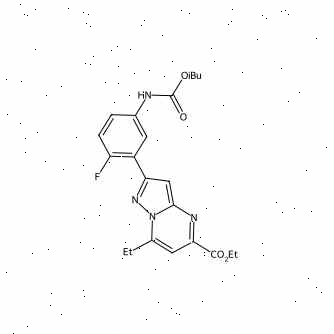 CCOC(=O)c1cc(CC)n2nc(-c3cc(NC(=O)OCC(C)C)ccc3F)cc2n1